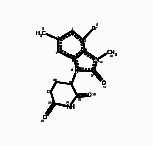 Cc1cc(Br)c2c(c1)n(C1CCC(=O)NC1=O)c(=O)n2C